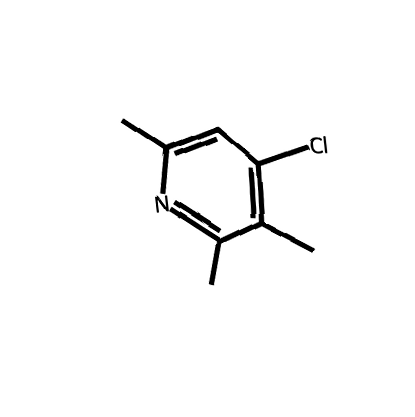 Cc1cc(Cl)c(C)c(C)n1